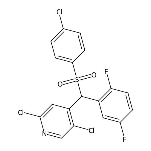 O=S(=O)(c1ccc(Cl)cc1)C(c1cc(F)ccc1F)c1cc(Cl)ncc1Cl